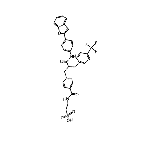 O=C(NCCS(=O)(=O)O)c1ccc(CC(Cc2ccc(C(F)(F)F)cc2)C(=O)Nc2ccc(-c3cc4ccccc4o3)cc2)cc1